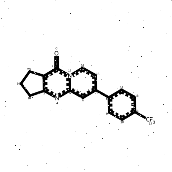 O=c1c2c(nc3cc(-c4ccc(C(F)(F)F)cc4)ccn13)CCC2